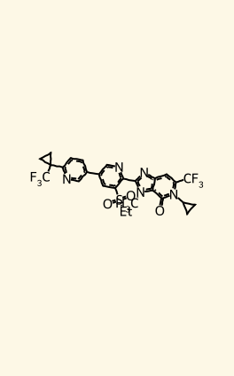 CCS(=O)(=O)c1cc(-c2ccc(C3(C(F)(F)F)CC3)nc2)cnc1-c1nc2cc(C(F)(F)F)n(C3CC3)c(=O)c2n1C